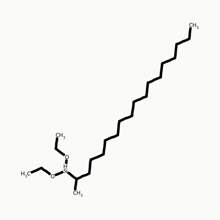 CCCCCCCCCCCCCCCCC(C)[SiH](OCC)OCC